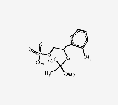 COC(C)(C)OC(COS(C)(=O)=O)c1ccccc1C